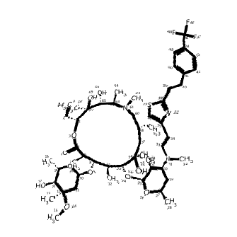 CC[C@H]1OC(=O)[C@H](C)[C@@H](O[C@H]2C[C@@](C)(OC)[C@@H](O)[C@H](C)O2)[C@H](C)[C@@H](O[C@@H]2O[C@H](C)C[C@H](N(C)CCc3csc(CCc4ccc(C(F)(F)F)cc4)n3)[C@H]2O)[C@](C)(O)C[C@@H](C)CN(C)[C@H](C)[C@@H](O)[C@]1(C)O